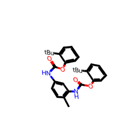 Cc1ccc(NC(=O)Oc2ccccc2C(C)(C)C)cc1NC(=O)Oc1ccccc1C(C)(C)C